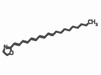 CCCCCCCCCC=CC=CC=CC=CC=CC1=NCCO1